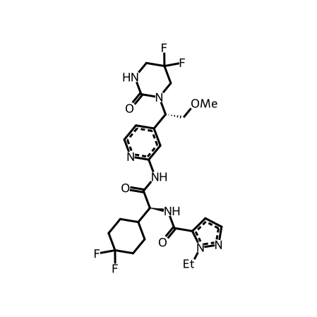 CCn1nccc1C(=O)N[C@H](C(=O)Nc1cc([C@@H](COC)N2CC(F)(F)CNC2=O)ccn1)C1CCC(F)(F)CC1